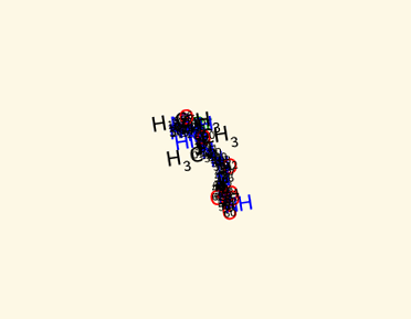 CCc1cc(Nc2ncc(Br)c(Nc3ccc4nccnc4c3P(C)(C)=O)n2)c(OC)cc1N1CCC(N2CCN(C(=O)C3CCN(c4ccc5c(c4)C(=O)N(C4CCC(=O)NC4=O)C5=O)CC3)CC2)CC1